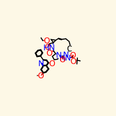 CCOC(=O)C12CC1/C=C/CCCCCN(NC(=O)OC(C)(C)C)C(=O)N1CC(Oc3cc(-c4ccccc4)nc4cc(OC)ccc34)CC1C(=O)N2